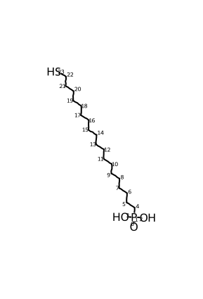 O=P(O)(O)CCCCCCCCCCCCCCCCCCCS